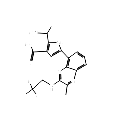 Cc1nc2cccc(-c3cc(C(=O)O)c(C(C)N)[nH]3)c2nc1NCC(F)(F)F